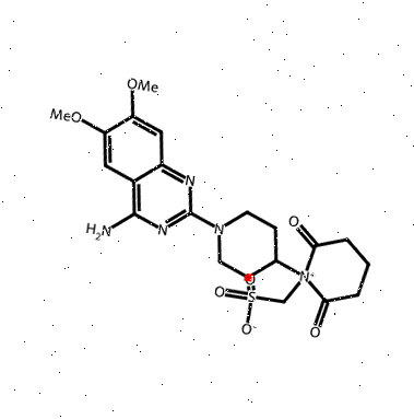 COc1cc2nc(N3CCC([N+]4(CS(=O)(=O)[O-])C(=O)CCCC4=O)CC3)nc(N)c2cc1OC